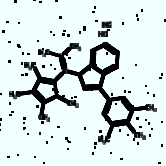 CC1=C(C)C(C)[C]([Zr]([CH]2C=C(c3cc(C)c(C)c(C)c3)c3ccccc32)=[Si](C)C)=C1C.Cl.Cl